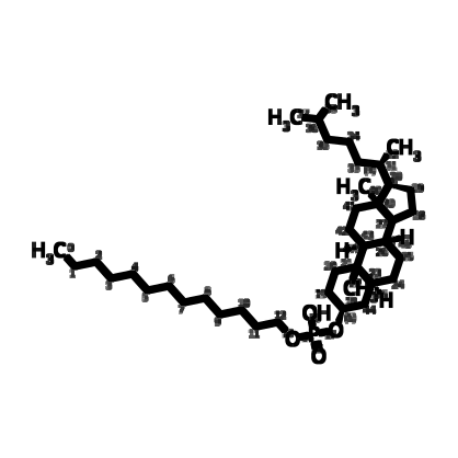 CCCCCCCCCCCCCOP(=O)(O)O[C@H]1CCC2(C)[C@@H](CC[C@H]3C4CC[C@H]([C@H](C)CCCC(C)C)[C@@]4(C)CC[C@@H]32)C1